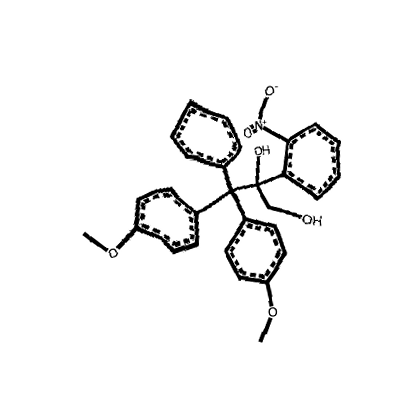 COc1ccc(C(c2ccccc2)(c2ccc(OC)cc2)C(O)(CO)c2ccccc2[N+](=O)[O-])cc1